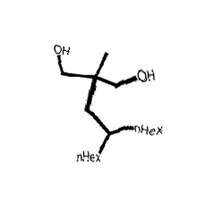 CCCCCCC(CCCCCC)CC(C)(CO)CO